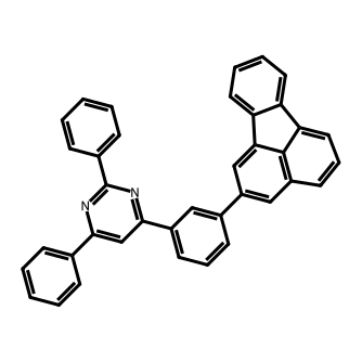 c1ccc(-c2cc(-c3cccc(-c4cc5c6c(cccc6c4)-c4ccccc4-5)c3)nc(-c3ccccc3)n2)cc1